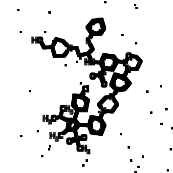 Cc1c(S(C)(=O)=O)c(-c2cccc(N3CCN(c4ccc(N5CCCOP5c5ccc(NC(CCN6CCC(CO)CC6)CSc6ccccc6)c([N+](=O)[O-])c5)cc4)CC3)c2)c(-c2ccc(Cl)cc2)n1C(C)C